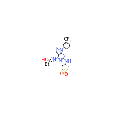 CCC1(O)CN(c2nc(NC3CCS(=O)(=O)CC3)nc3c2cnn3-c2cccc(C(F)(F)F)c2)C1